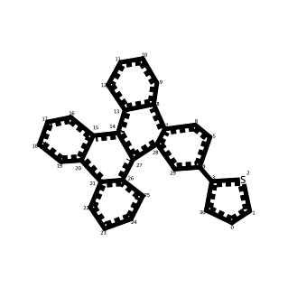 c1csc(-c2ccc3c4ccccc4c4c5ccccc5c5ccccc5c4c3c2)c1